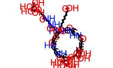 O=C(O)CCCCCCCCCCC(=O)NC1(COCCC(=O)NCCCNC(=O)CCCCO[C@H]2OC(CO)[C@@H](O)C(O)C2O)COCCC(=O)NCCCNCC(=O)CCCCO[C@H]2OC(COC(O[C@H]3OC(CO)[C@@H](O)C(O)C3O)CCCC(=O)CNCCCNC(=O)CCOC1)[C@H](O)C(O)C2O